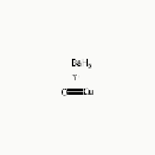 [BaH2].[O]=[Cu].[Y]